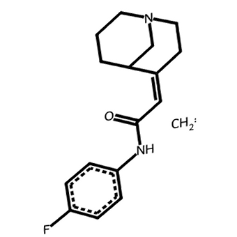 O=C(C=C1CCN2CCCC1C2)Nc1ccc(F)cc1.[CH2]